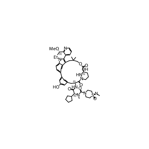 CCn1c(-c2cccnc2[C@H](C)OC)c2c3cc(ccc31)-c1cc(O)cc(c1)C[C@H](NC(=O)[C@H](C1CCCC1)N(C)C(=O)N1CCS(=O)(=NC)CC1)C(=O)N1CCC[C@@](O)(N1)C(=O)OCC(C)(C)C2